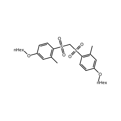 CCCCCCOc1ccc(S(=O)(=O)CS(=O)(=O)c2ccc(OCCCCCC)cc2C)c(C)c1